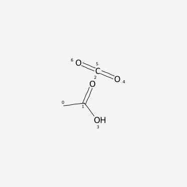 CC(=O)O.O=C=O